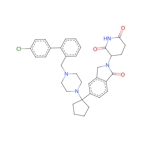 O=C1CCC(N2Cc3cc(C4(N5CCN(Cc6ccccc6-c6ccc(Cl)cc6)CC5)CCCC4)ccc3C2=O)C(=O)N1